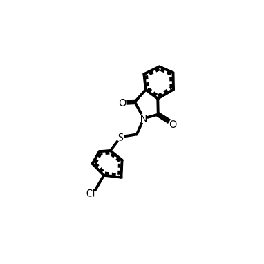 O=C1c2ccccc2C(=O)N1CSc1ccc(Cl)cc1